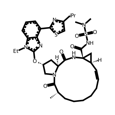 CCn1c(O[C@@H]2C[C@H]3C(=O)N[C@]4(C(=O)NS(=O)(=O)N(C)C)C[C@H]4/C=C\CCCCC[C@H](C)C(=O)N3C2)nc2c(-c3nc(C(C)C)cs3)cccc21